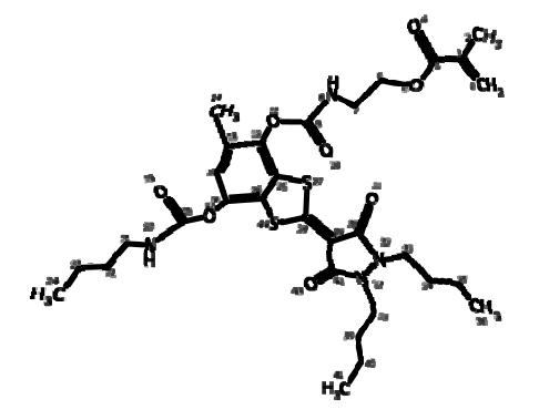 C=C(C)C(=O)OCCNC(=O)Oc1c(C)cc(OC(=O)NCCCC)c2c1SC(=C1C(=O)N(CCCC)N(CCCC)C1=O)S2